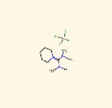 CN(C)C(N(C)C)=[N+]1CCCCC1.F[B-](F)(F)F